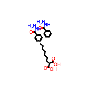 CCCCCCCC(C(=O)O)C(=O)O.NNC(=O)c1ccccc1.NNC(=O)c1ccccc1